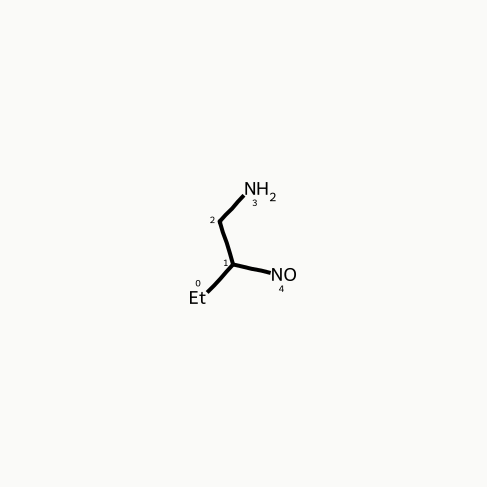 CCC(CN)N=O